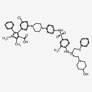 Cc1cc(S(=O)(=O)Nc2ccc(N3CCN(c4cc(Cl)cc(-c5c(C(=O)O)c(C)n(C)c5-c5ccccc5)c4)CC3)cc2)ccc1N[C@H](CCN1CCC(O)CC1)CSc1ccccc1